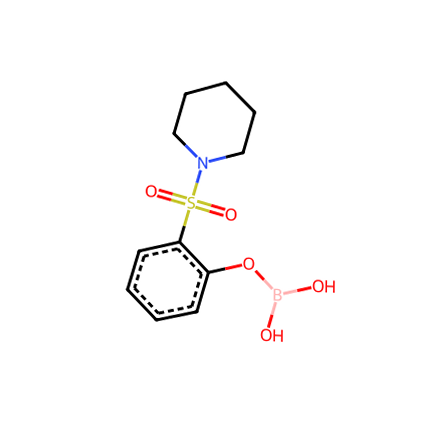 O=S(=O)(c1ccccc1OB(O)O)N1CCCCC1